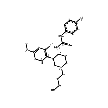 COC1=CC(F)=C([C@@H]2CN(CCCO)CC[C@H]2NC(=O)Nc2ccc(Cl)cc2)NC1